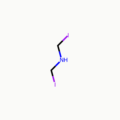 ICNCI